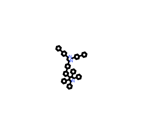 c1ccc(-c2ccc(-c3cc(-c4ccc(-c5cccc(-c6c(-c7ccccc7)c(-c7ccccc7)nc(-c7ccccc7)c6-c6ccccc6)c5)cc4)nc(-c4ccc(-c5ccccc5)cc4)n3)cc2)cc1